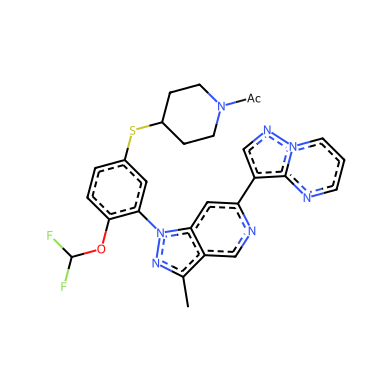 CC(=O)N1CCC(Sc2ccc(OC(F)F)c(-n3nc(C)c4cnc(-c5cnn6cccnc56)cc43)c2)CC1